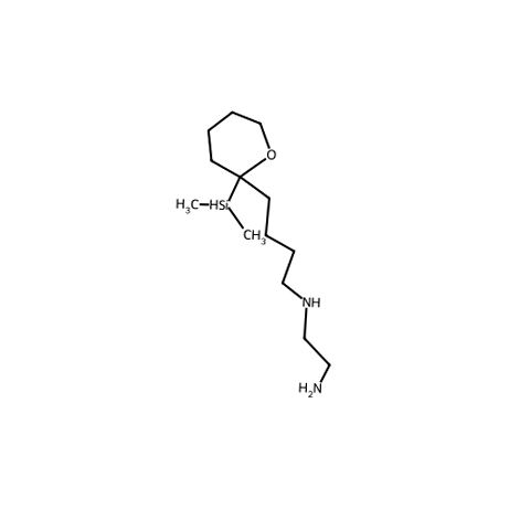 C[SiH](C)C1(CCCCNCCN)CCCCO1